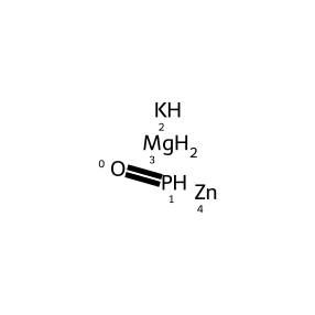 O=P.[KH].[MgH2].[Zn]